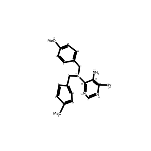 COc1ccc(CN(Cc2ccc(OC)cc2)c2ncnc(C(C)C)c2N)cc1